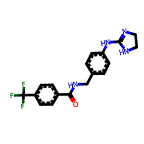 O=C(NCc1ccc(NC2=NCCN2)cc1)c1ccc(C(F)(F)F)cc1